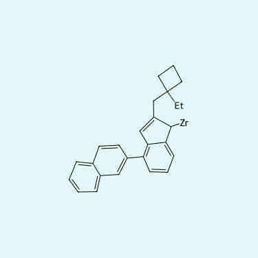 CCC1(CC2=Cc3c(-c4ccc5ccccc5c4)cccc3[CH]2[Zr])CCC1